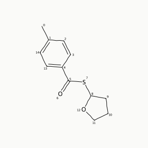 Cc1ccc(C(=O)SC2CCCO2)cc1